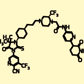 CC1(C)C(=O)N(c2cnc(C#N)c(C(F)(F)F)c2)C(=S)N1[C@H]1CC[C@H](CCCN2CCN(CC(=O)Nc3ccc(C4CCC(=O)NC4=O)nc3)[C@@H](C(F)(F)F)C2)CC1